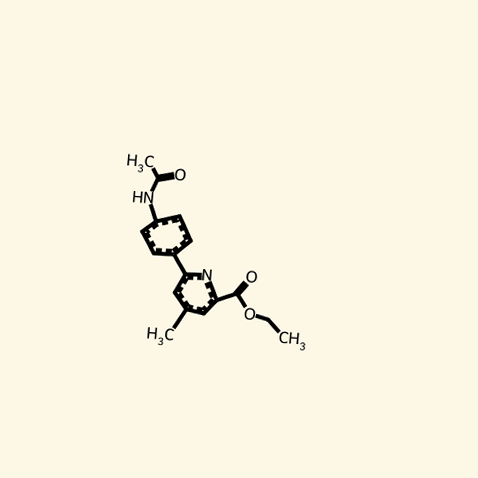 CCOC(=O)c1cc(C)cc(-c2ccc(NC(C)=O)cc2)n1